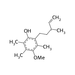 C=C[C](C)CCc1c(C)c(OC)c(C)c(C)c1O